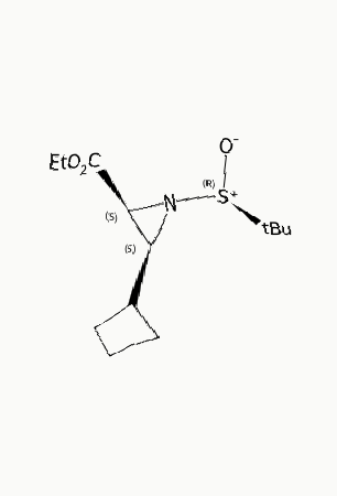 CCOC(=O)[C@@H]1[C@H](C2CCC2)N1[S@@+]([O-])C(C)(C)C